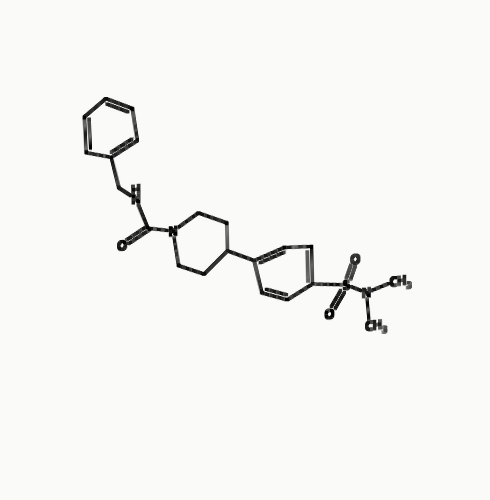 CN(C)S(=O)(=O)c1ccc(C2CCN(C(=O)NCc3ccccc3)CC2)cc1